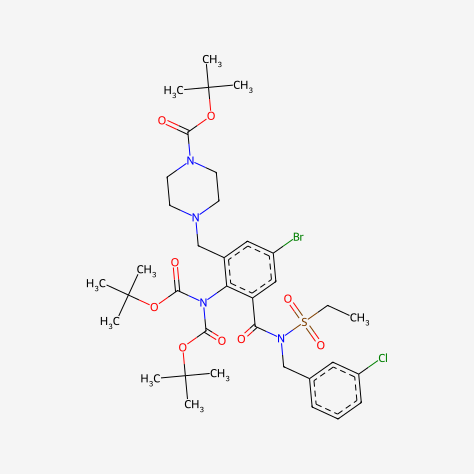 CCS(=O)(=O)N(Cc1cccc(Cl)c1)C(=O)c1cc(Br)cc(CN2CCN(C(=O)OC(C)(C)C)CC2)c1N(C(=O)OC(C)(C)C)C(=O)OC(C)(C)C